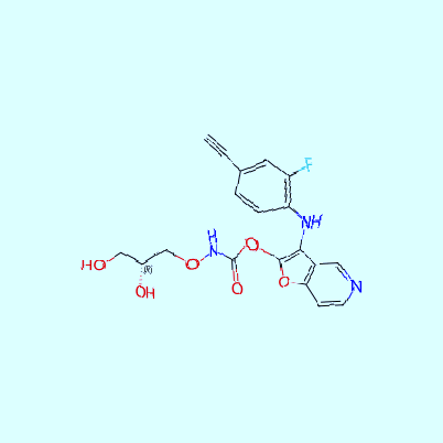 C#Cc1ccc(Nc2c(OC(=O)NOC[C@H](O)CO)oc3ccncc23)c(F)c1